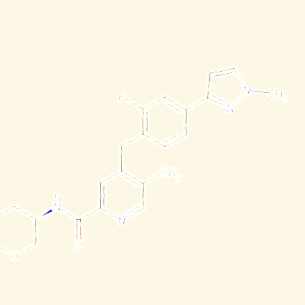 Cc1cnc(C(=O)N[C@@H]2CCCOC2)cc1Cc1ccc(-c2ccn(C)n2)cc1F